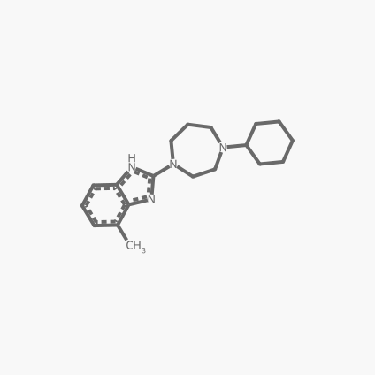 Cc1cccc2[nH]c(N3CCCN(C4CCCCC4)CC3)nc12